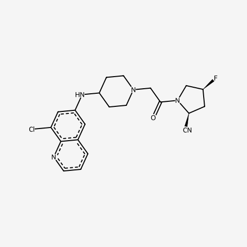 N#C[C@@H]1C[C@H](F)CN1C(=O)CN1CCC(Nc2cc(Cl)c3ncccc3c2)CC1